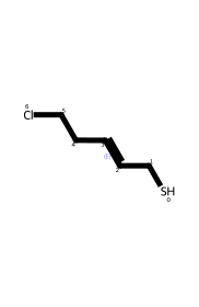 SC/C=C/CCCl